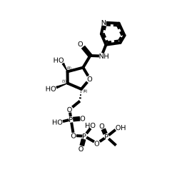 CP(=O)(O)OP(=O)(O)OP(=O)(O)OC[C@H]1OC(C(=O)Nc2cccnc2)[C@H](O)[C@@H]1O